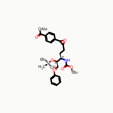 COC(=O)c1ccc(C2OC2CC[C@@H](NC(=O)OC(C)(C)C)[C@@H](COc2ccccc2)O[Si](C)(C)C(C)(C)C)cc1